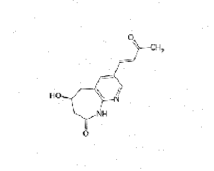 CC(=O)/C=C/c1cnc2c(c1)C[C@H](O)CC(=O)N2